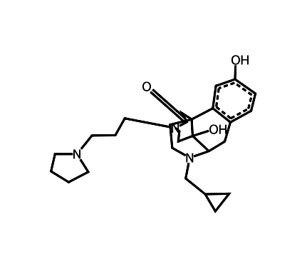 O=C1CC23CCN(CC4CC4)C(Cc4ccc(O)cc42)C3(O)CCN1CCCN1CCCC1